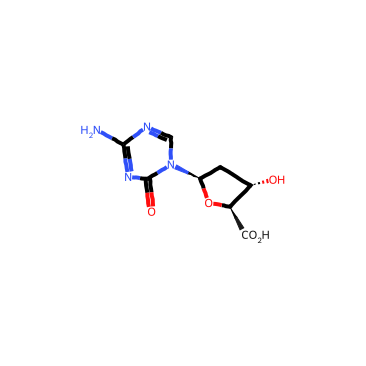 Nc1ncn([C@H]2C[C@H](O)[C@@H](C(=O)O)O2)c(=O)n1